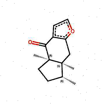 C[C@@H]1CC[C@@]2(C)C(=O)c3ccoc3C[C@@]12C